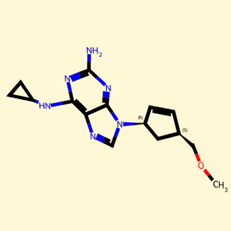 COC[C@@H]1C=C[C@H](n2cnc3c(NC4CC4)nc(N)nc32)C1